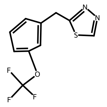 FC(F)(F)Oc1cccc(Cc2nncs2)c1